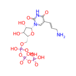 NC/C=C/c1cn([C@@H]2O[C@H](COP(=O)(O)OP(=O)(O)OP(=O)(O)O)C(O)[C@@H]2O)c(=O)[nH]c1=O